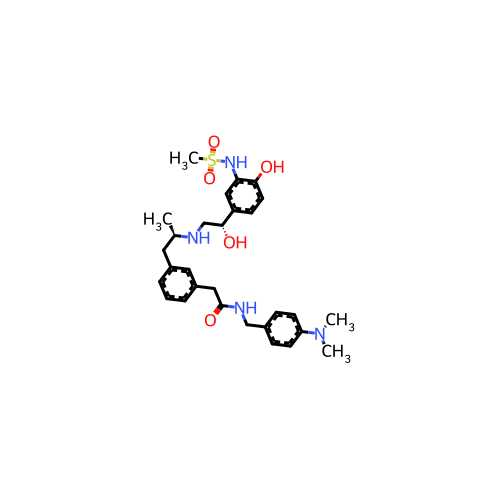 C[C@H](Cc1cccc(CC(=O)NCc2ccc(N(C)C)cc2)c1)NC[C@@H](O)c1ccc(O)c(NS(C)(=O)=O)c1